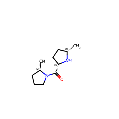 C[C@H]1CC[C@@H](C(=O)N2CCC[C@H]2C#N)N1